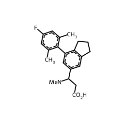 CNC(CC(=O)O)c1cc2c(c(-c3c(C)cc(F)cc3C)c1)CCC2